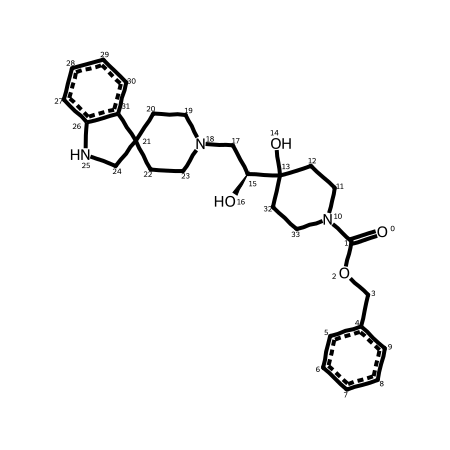 O=C(OCc1ccccc1)N1CCC(O)([C@@H](O)CN2CCC3(CC2)CNc2ccccc23)CC1